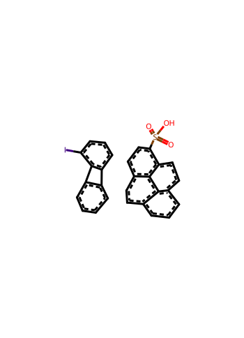 Ic1cccc2c1-c1ccccc1-2.O=S(=O)(O)c1ccc2ccc3cccc4ccc1c2c34